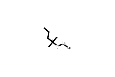 CCCC(C)(C)O[SiH2]O